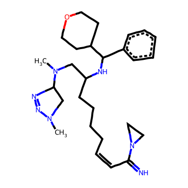 CN1CC(N(C)CC(CCCC/C=C\C(=N)N2CC2)NC(c2ccccc2)C2CCOCC2)N=N1